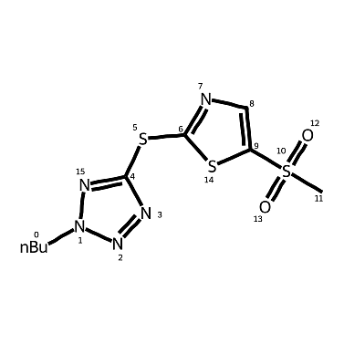 CCCCn1nnc(Sc2ncc(S(C)(=O)=O)s2)n1